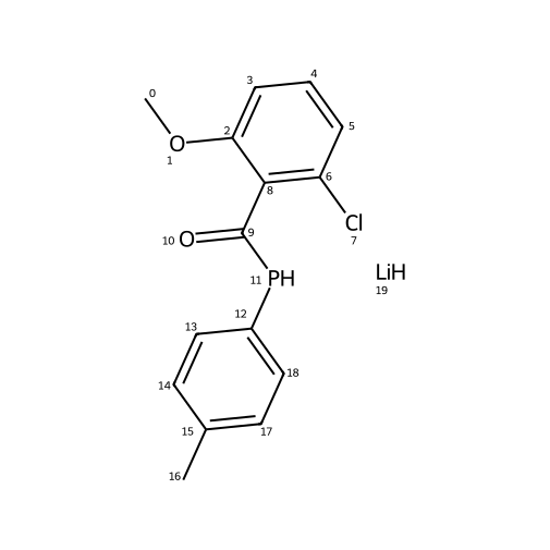 COc1cccc(Cl)c1C(=O)Pc1ccc(C)cc1.[LiH]